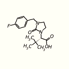 CC(C)(C)[C@@H](C(=O)O)N1CCN(Cc2ccc(F)cc2)C1=O